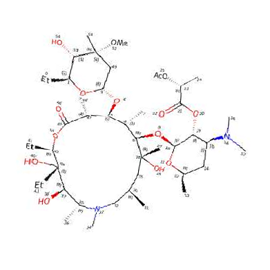 CC[C@@H]1O[C@@H](O[C@H]2[C@H](C)[C@@H](O[C@@H]3O[C@H](C)C[C@H](N(C)C)[C@H]3OC(=O)[C@@H](C)OC(C)=O)[C@](C)(O)C[C@@H](C)CN(C)[C@H](C)[C@@H](O)[C@@](O)(CC)[C@@H](CC)OC(=O)[C@@H]2C)C[C@@](C)(OC)[C@H]1O